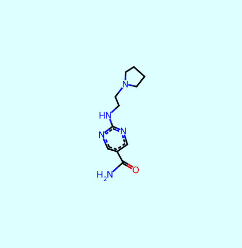 NC(=O)c1cnc(NCCN2CCCC2)nc1